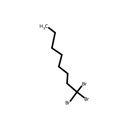 CCCCCCCC(Br)(Br)Br